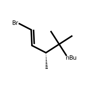 CCCCC(C)(C)[C@H](C)/C=C/Br